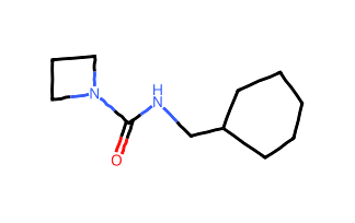 O=C(NCC1CCCCC1)N1CCC1